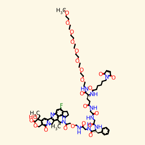 CC[C@@]1(O)C(=O)OCc2c1cc1n(c2=O)Cc2c-1nc1cc(F)c3c(c1c2[C@H](C)NC(=O)COCNC(=O)CNC(=O)[C@H](Cc1ccccc1)NC(=O)CNC(=O)CNC(=O)CC[C@H](NC(=O)CCCCCN1C(=O)C=CC1=O)C(=O)NCCOCCOCCOCCOCCOCCOCCOCCOC)CCC3